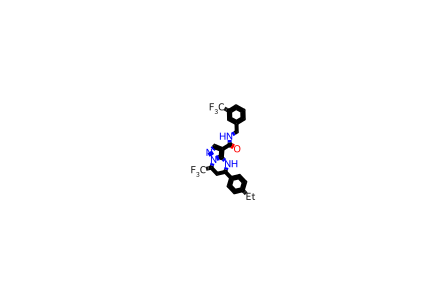 CCc1ccc(C2CC(C(F)(F)F)n3ncc(C(=O)NCc4cccc(C(F)(F)F)c4)c3N2)cc1